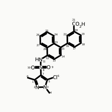 Cc1nn(C)c(Cl)c1S(=O)(=O)Nc1ccc(-c2cccc(C(=O)O)c2)c2ccccc12